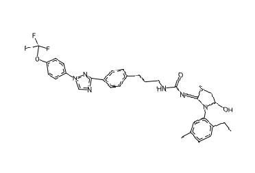 CCc1ccc(C)cc1N1/C(=N/C(=O)NCCCc2ccc(-c3ncn(-c4ccc(OC(F)(F)F)cc4)n3)cc2)SCC1O